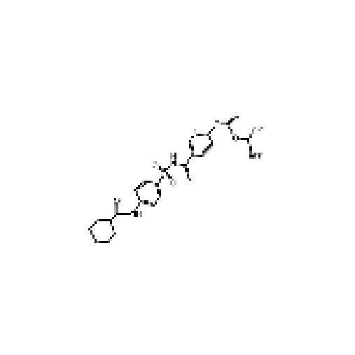 CCCC(CCC)OC(=O)Oc1ccc(C(=O)NS(=O)(=O)c2ccc(NC(=O)C3CCCCC3)cc2)cn1